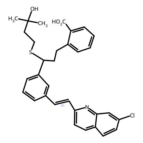 CC(C)(O)CCSC(CCc1ccccc1C(=O)O)c1cccc(/C=C/c2ccc3ccc(Cl)cc3n2)c1